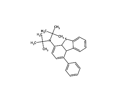 CC(C)(C)N(C1=CC=C(c2ccccc2)C2c3ccccc3SC12)C(C)(C)C